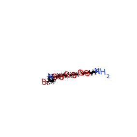 NCCCCOCCOCCOCCOCCOCCOc1ccc(Br)cn1